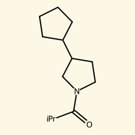 CC(C)C(=O)N1CCC(C2CCCC2)C1